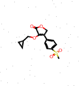 CS(=O)(=O)c1ccc(C2=C(OCC3CC3)C(=O)OC2)cc1